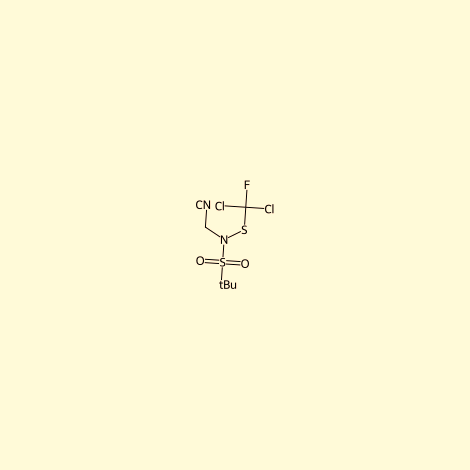 CC(C)(C)S(=O)(=O)N(CC#N)SC(F)(Cl)Cl